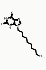 CCCCCCCCCCn1cnc2c(=O)[nH]c(=O)[nH]c21